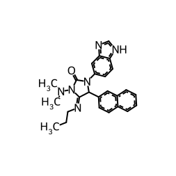 CCCN=C1C(c2ccc3ccccc3c2)N(c2ccc3[nH]cnc3c2)C(=O)N1N(C)C